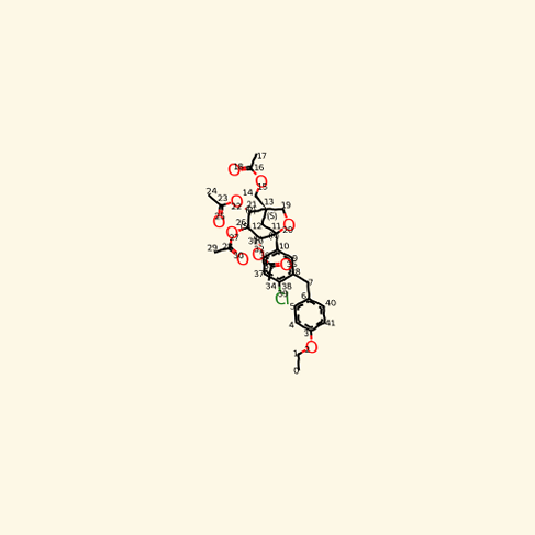 CCOc1ccc(Cc2cc([C@@]34C[C@@](COC(C)=O)(CO3)[C@@H](OC(C)=O)[C@H](OC(C)=O)[C@H]4OC(C)=O)ccc2Cl)cc1